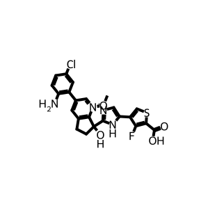 CO[n+]1cc(-c2cc(Cl)ccc2N)cc2c1C(O)(c1ncc(-c3csc(C(=O)O)c3F)[nH]1)CC2